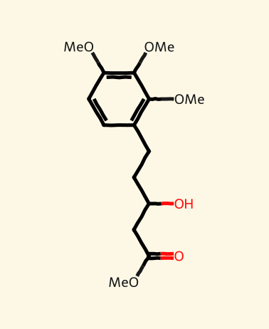 COC(=O)CC(O)CCc1ccc(OC)c(OC)c1OC